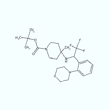 CC1(NC(c2ccccc2N2CCOCC2)C(F)(F)F)CCN(C(=O)OC(C)(C)C)CC1